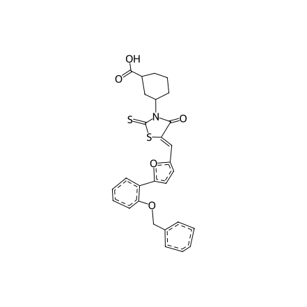 O=C(O)C1CCCC(N2C(=O)/C(=C/c3ccc(-c4ccccc4OCc4ccccc4)o3)SC2=S)C1